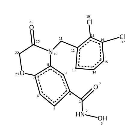 O=C(NO)c1ccc2c(c1)N(Cc1cccc(Cl)c1Cl)C(=O)CO2